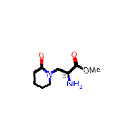 COC(=O)[C@@H](N)CN1CCCCC1=O